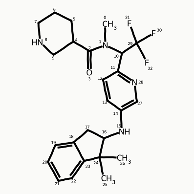 CN(C(=O)C1CCCNC1)C(c1ccc(NC2Cc3ccccc3C2(C)C)cn1)C(F)(F)F